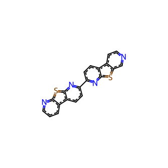 c1cnc2sc3nc(-c4ccc5c(n4)sc4cnccc45)ccc3c2c1